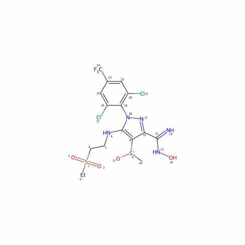 CCS(=O)(=O)CCNc1c([S+](C)[O-])c(C(=N)NO)nn1-c1c(Cl)cc(C(F)(F)F)cc1Cl